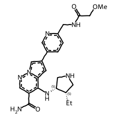 CC[C@H]1CNC[C@H]1Nc1c(C(N)=O)cnn2cc(-c3ccc(CNC(=O)COC)nc3)cc12